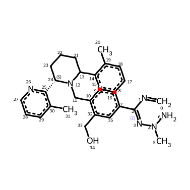 C=N/C(=N\N(C)N)c1ccc(CN2C(c3ncccc3C)CCC[C@H]2c2ncccc2C)c(CO)c1